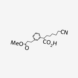 COC(=O)CCc1cccc(C(CCCCCC#N)C(=O)O)c1